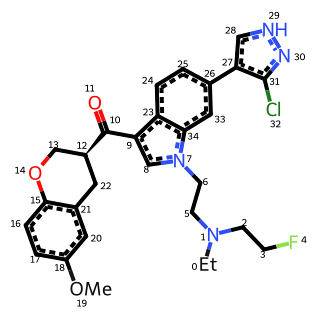 CCN(CCF)CCn1cc(C(=O)[C@@H]2COc3ccc(OC)cc3C2)c2ccc(-c3c[nH]nc3Cl)cc21